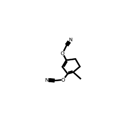 CC1=C(OC#N)C=C(OC#N)CC1